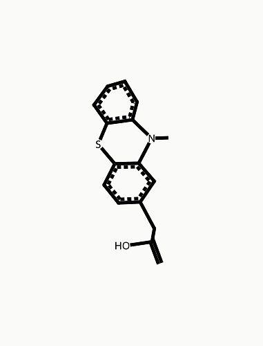 C=C(O)Cc1ccc2c(c1)N(C)c1ccccc1S2